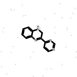 c1ccc2c(c1)N=C(c1ccncn1)CN2